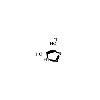 C1=CNC=[N+]1.Cl.Cl.[Cl-]